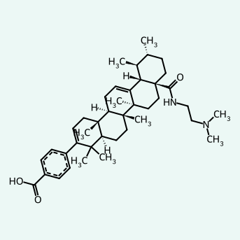 C[C@H]1[C@H](C)CC[C@]2(C(=O)NCCN(C)C)CC[C@]3(C)C(=CC[C@@H]4[C@@]5(C)CC=C(c6ccc(C(=O)O)cc6)C(C)(C)[C@@H]5CC[C@]43C)[C@H]12